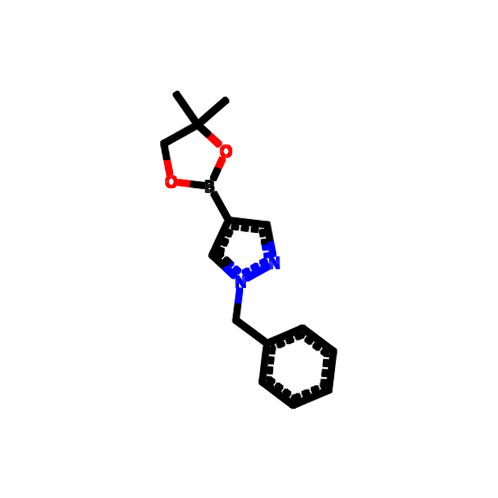 CC1(C)COB(c2cnn(Cc3ccccc3)c2)O1